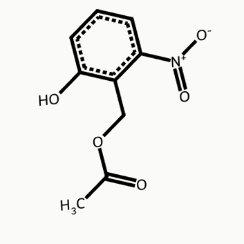 CC(=O)OCc1c(O)cccc1[N+](=O)[O-]